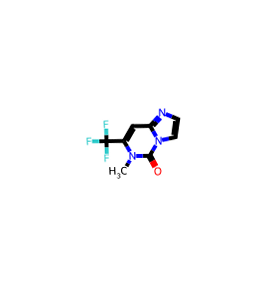 Cn1c(C(F)(F)F)cc2nccn2c1=O